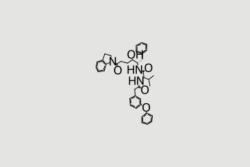 CC(C)C(NC(=O)Cc1cccc(Oc2ccccc2)c1)C(=O)N[C@@H](Cc1ccccc1)[C@@H](O)CCC(=O)N1CCc2ccccc21